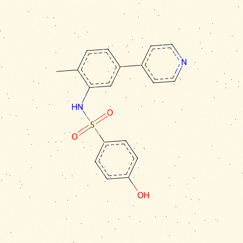 Cc1ccc(-c2ccncc2)cc1NS(=O)(=O)c1ccc(O)cc1